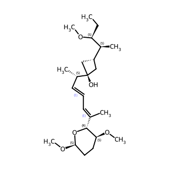 CC[C@H](OC)[C@@H](C)[C@H]1C[C@@](O)([C@@H](C)/C=C/C=C(\C)[C@H]2O[C@H](OC)CC[C@@H]2OC)C1